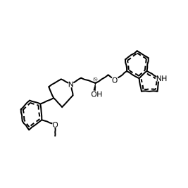 COc1ccccc1C1CCN(C[C@H](O)COc2cccc3[nH]ccc23)CC1